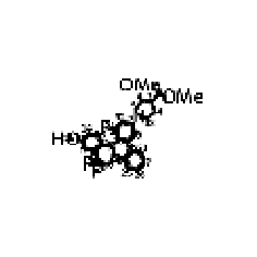 COC(OC)C1CCN(c2ccc([C@@H]3c4ccc(O)cc4C(F)(F)C[C@@H]3c3ccccc3)c(F)c2)CC1